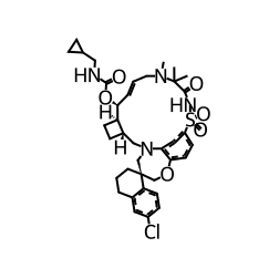 CN1C/C=C/[C@H](OC(=O)NCC2CC2)[C@@H]2CC[C@H]2CN2C[C@@]3(CCCc4cc(Cl)ccc43)COc3ccc(cc32)S(=O)(=O)NC(=O)C1(C)C